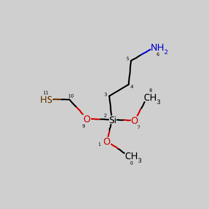 CO[Si](CCCN)(OC)OCS